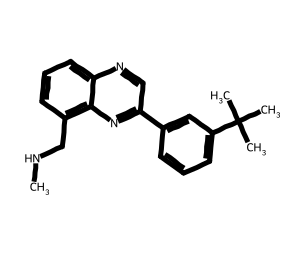 CNCc1cccc2ncc(-c3cccc(C(C)(C)C)c3)nc12